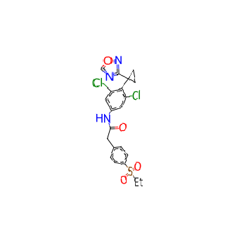 CCS(=O)(=O)c1ccc(CC(=O)Nc2cc(Cl)c(C3(c4ncon4)CC3)c(Cl)c2)cc1